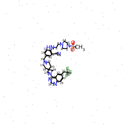 CS(=O)(=O)N1CCN(CCNc2ccc(CN3CCC4(CC3)CN(c3ncnc5ccc(CC(F)(F)F)cc35)C4)cc2C#N)CC1